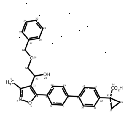 Cc1noc(-c2ccc(-c3ccc(C4(C(=O)O)CC4)cc3)cc2)c1C(O)COCc1ccccc1